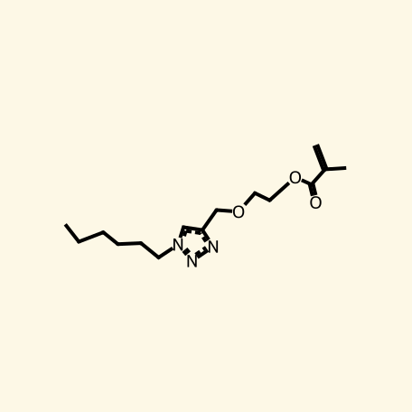 C=C(C)C(=O)OCCOCc1cn(CCCCCC)nn1